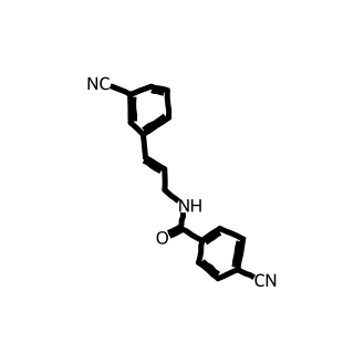 N#Cc1ccc(C(=O)NCC=Cc2cccc(C#N)c2)cc1